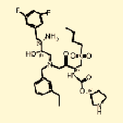 CCCCS(=O)(=O)C[C@@H](NC(=O)O[C@@H]1CCNC1)C(=O)CN(Cc1cccc(CC)c1)C[C@@H](O)[C@@H](N)Cc1cc(F)cc(F)c1